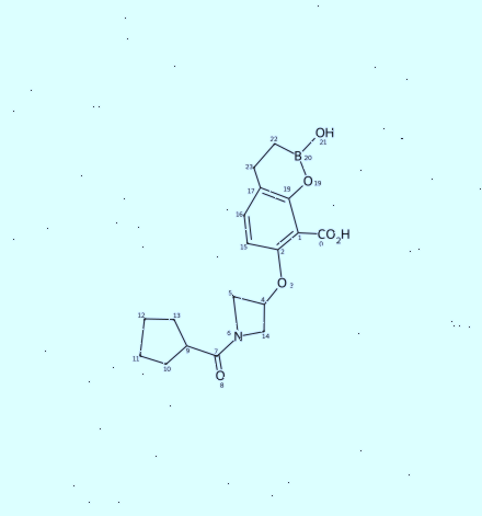 O=C(O)c1c(OC2CN(C(=O)C3CCCC3)C2)ccc2c1OB(O)CC2